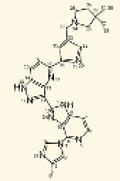 Cc1cn(-c2nccc3[nH]c(-c4n[nH]c5ccc(-c6cncc(CN7CCC(F)(F)C7)c6)nc45)nc23)cn1